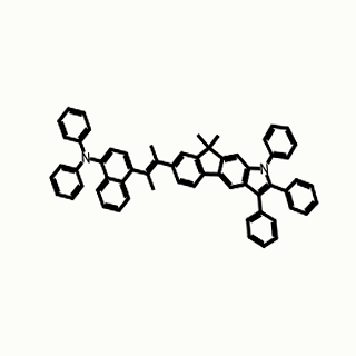 C/C(=C(/C)c1ccc(N(c2ccccc2)c2ccccc2)c2ccccc12)c1ccc2c(c1)C(C)(C)c1cc3c(cc1-2)c(-c1ccccc1)c(-c1ccccc1)n3-c1ccccc1